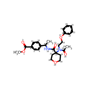 COC(=O)c1ccc(C(C)NC(=O)C2(N(CCOc3ccccc3)C(C)=O)CCOCC2)cc1